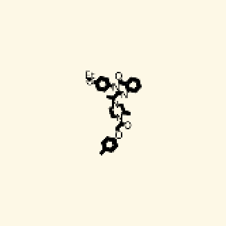 CCOc1ccc(-n2c(C(C)N3CCN(C(=O)COc4ccc(C)cc4)C(C)C3)nc3ccccc3c2=O)cc1